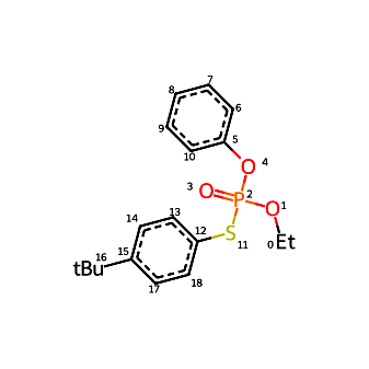 CCOP(=O)(Oc1ccccc1)Sc1ccc(C(C)(C)C)cc1